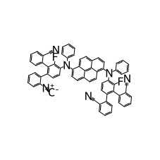 [C-]#[N+]c1ccccc1-c1ccc(N(c2ccccc2)c2ccc3ccc4c(N(c5ccccc5)c5ccc(-c6ccccc6C#N)c(-c6ccccc6C#N)c5F)ccc5ccc2c3c54)c(F)c1-c1ccccc1C#N